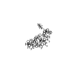 CC[C@H](C)[C@@H]([C@@H](CC(=O)N1CCC[C@H]1[C@H](OC)[C@@H](C)C(=O)N[C@@H](Cc1ccccc1)C(=O)NS(=O)(=O)CCCN=[N+]=[N-])OC)N(C)C(=O)C(NC(=O)[C@@H]1[C@H]2CC[C@H](C2)N1C)C(C)C